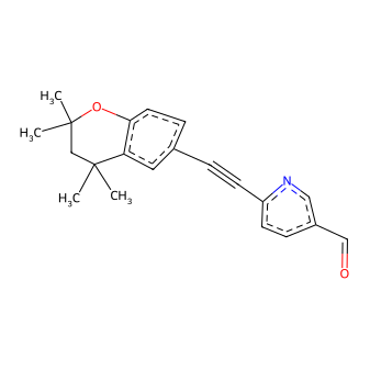 CC1(C)CC(C)(C)c2cc(C#Cc3ccc(C=O)cn3)ccc2O1